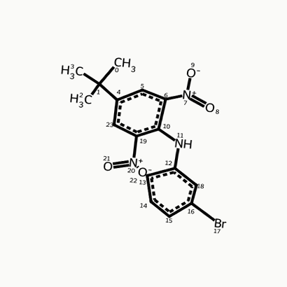 CC(C)(C)c1cc([N+](=O)[O-])c(Nc2cccc(Br)c2)c([N+](=O)[O-])c1